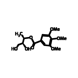 COc1cc(C(=O)O[C@H](C)[C@@H](O)CO)cc(OC)c1OC